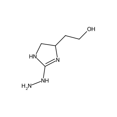 NNC1=NC(CCO)CN1